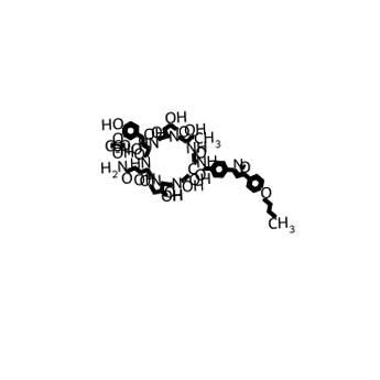 CCCCCOc1ccc(-c2cc(-c3ccc(C(=O)NC4CC(O)C(O)NC(=O)C5C(O)CCN5C(=O)C(C(O)CC(N)=O)NC(=O)C(C(O)C(O)c5ccc(O)c(OS(=O)(=O)O)c5)NC(=O)C5CC(O)CN5C(=O)C(C(C)O)NC4=O)cc3)no2)cc1